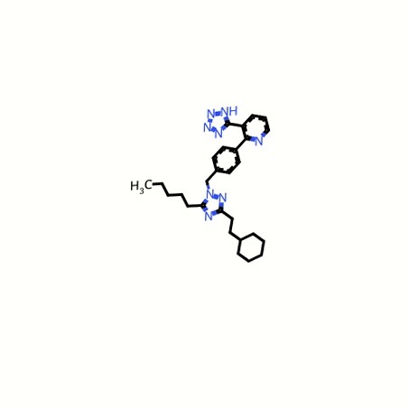 CCCCCc1nc(CCC2CCCCC2)nn1Cc1ccc(-c2ncccc2-c2nnn[nH]2)cc1